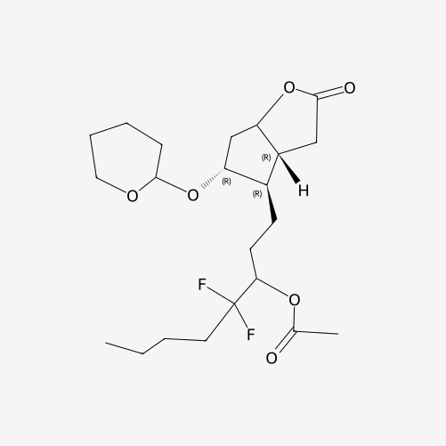 CCCCC(F)(F)C(CC[C@H]1[C@H](OC2CCCCO2)CC2OC(=O)C[C@@H]21)OC(C)=O